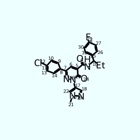 CCC(NC(=O)c1cc(-c2ccc(Cl)cc2)nn(-c2cnn(C)c2)c1=O)c1ccc(F)cc1